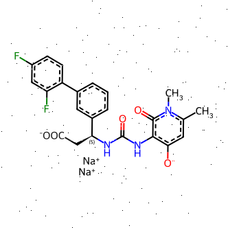 Cc1cc([O-])c(NC(=O)N[C@@H](CC(=O)[O-])c2cccc(-c3ccc(F)cc3F)c2)c(=O)n1C.[Na+].[Na+]